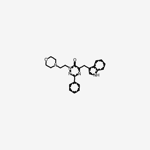 O=c1c(Cc2c[nH]c3ccccc23)nc(-c2ccccc2)nn1CCN1CCOCC1